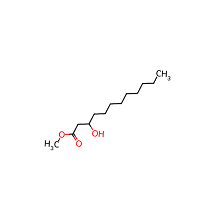 CCCCCCCCCC(O)CC(=O)OC